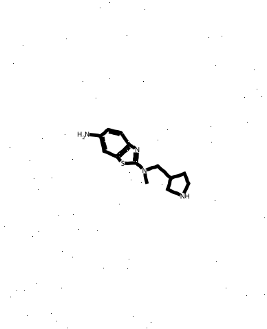 CN(CC1CCNC1)c1nc2ccc(N)cc2s1